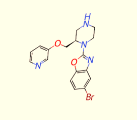 Brc1ccc2oc(N3CCNC[C@@H]3COc3cccnc3)nc2c1